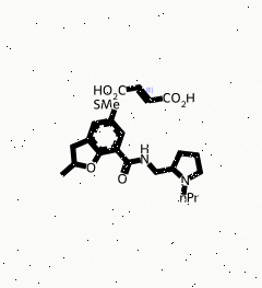 CCCN1CCCC1CNC(=O)c1cc(SC)cc2c1OC(C)C2.O=C(O)/C=C/C(=O)O